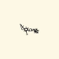 C=CCOc1ccc(COCCn2ccnn2)c(C)c1